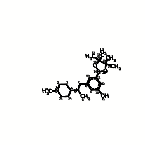 CN1CCC(N(C)Cc2cc(O)cc(B3OC(C)(C)C(C)(C)O3)c2)CC1